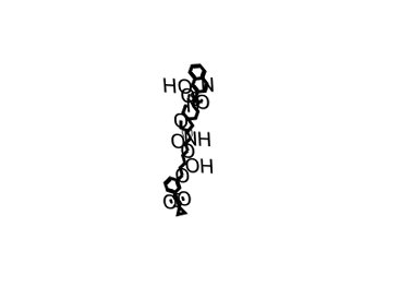 O=C(N[C@H]1COC2(CCN(S(=O)(=O)c3cnc4ccccc4c3O)CC2)C1)OCC(O)COc1cccc(S(=O)(=O)C2CC2)c1